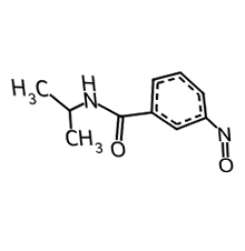 CC(C)NC(=O)c1cccc(N=O)c1